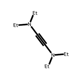 CCN(C#CN(CC)CC)CC